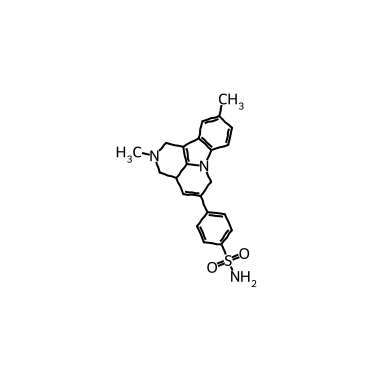 Cc1ccc2c(c1)c1c3n2CC(c2ccc(S(N)(=O)=O)cc2)=CC3CN(C)C1